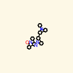 O=c1c2ccccc2c2cnc(-n3c4ccccc4c4cc(-c5ccc6c(c5)c5ccccc5n6-c5ccccc5)ccc43)c3c4ccccc4n1c23